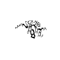 CSCC[C@H](NC(=O)[C@H]1Cc2ccccc2CN1C(=O)[C@@H](NCC(N)CS)C(C)(C)C)C(=O)O